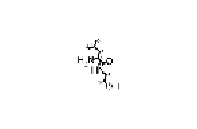 CC(C)CC(N)C(=O)NCCO